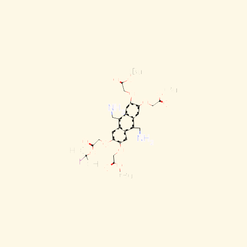 CC(C)(C)OC(=O)COc1cc2c(CN)c3cc(OCC(=O)OC(C)(C)C)c(OCC(=O)OC(C)(C)I)cc3c(CN)c2cc1OCC(=O)OC(C)(C)C